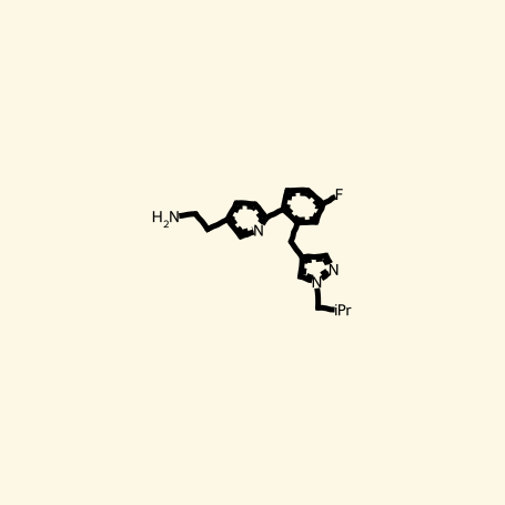 CC(C)Cn1cc(Cc2cc(F)ccc2-c2ccc(CCN)cn2)cn1